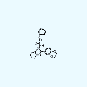 O=C(N[C@H](CN1CCCCC1)[C@H](O)c1ccc2c(c1)OCCO2)OCc1ccccc1